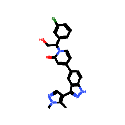 Cc1c(-c2n[nH]c3ccc(-c4ccn(C(CO)c5cccc(Cl)c5)c(=O)c4)cc23)cnn1C